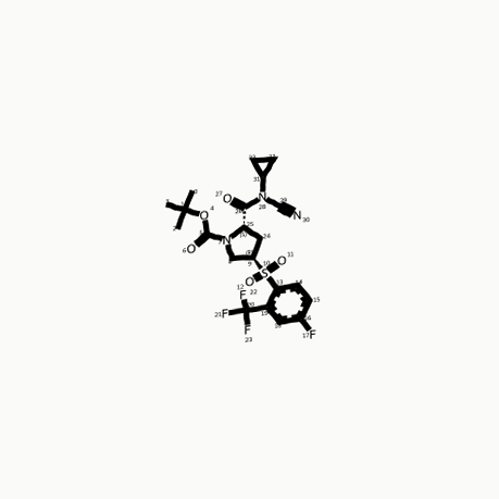 CC(C)(C)OC(=O)N1C[C@H](S(=O)(=O)c2ccc(F)cc2C(F)(F)F)C[C@H]1C(=O)N(C#N)C1CC1